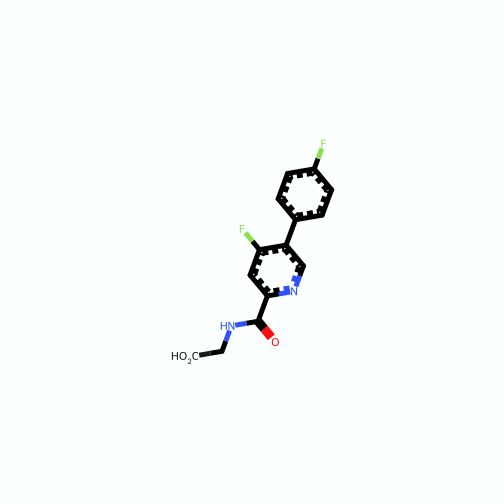 O=C(O)CNC(=O)c1cc(F)c(-c2ccc(F)cc2)cn1